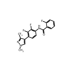 Cn1cc(-c2ccc(NC(=O)c3ccccc3F)c(F)c2F)c(C(F)(F)F)n1